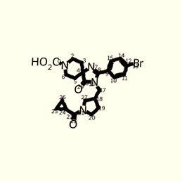 O=C(O)N1CCC2(CC1)N=C(c1ccc(Br)cc1)N(CC1CCN(C(=O)C3CC3)C1)C2=O